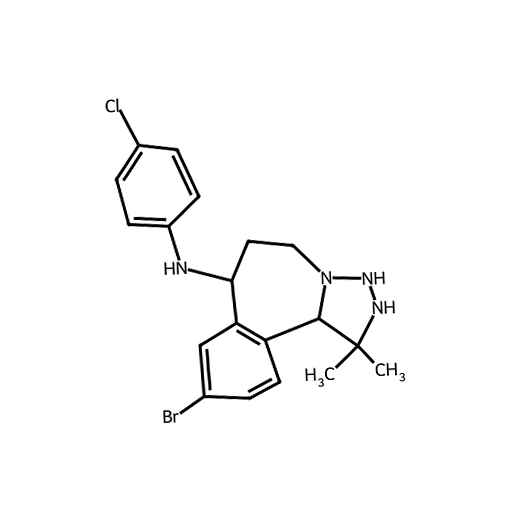 CC1(C)NNN2CCC(Nc3ccc(Cl)cc3)c3cc(Br)ccc3C21